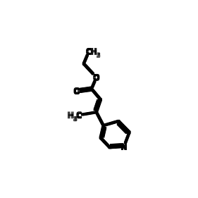 CCOC(=O)/C=C(\C)c1ccncc1